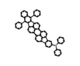 c1ccc(-c2c3c(c(-c4ccccc4)c4ccccc24)-c2ccc4c5ccc6c7c(ccc(c8ccc-3c2c84)c75)-c2ccc(N(c3ccccc3)c3ccccc3)cc2-6)cc1